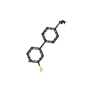 CCCc1ccc(-c2cc[c]c(F)c2)cc1